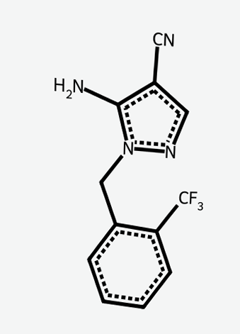 N#Cc1cnn(Cc2ccccc2C(F)(F)F)c1N